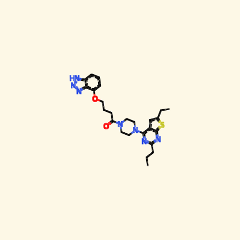 CCCc1nc(N2CCN(C(=O)CCCOc3cccc4[nH]nnc34)CC2)c2cc(CC)sc2n1